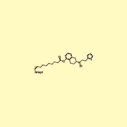 CCCCCCC/C=C\CCCCCCCC(=O)Oc1cccc2c1CCC(N(CC)CCc1cccs1)C2